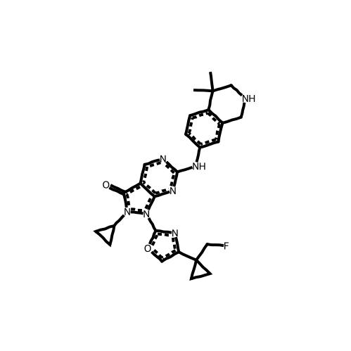 CC1(C)CNCc2cc(Nc3ncc4c(=O)n(C5CC5)n(-c5nc(C6(CF)CC6)co5)c4n3)ccc21